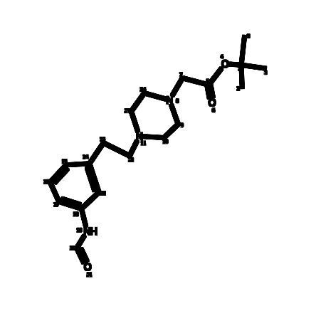 CC(C)(C)OC(=O)CN1CCN(CCc2cccc(NC=O)c2)CC1